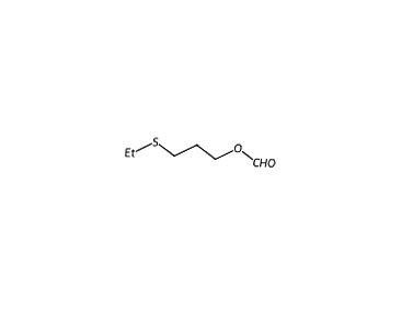 CCSCCCOC=O